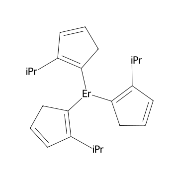 CC(C)C1=[C]([Er]([C]2=C(C(C)C)C=CC2)[C]2=C(C(C)C)C=CC2)CC=C1